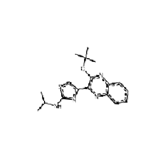 CC(C)Nc1nc(-c2nc3ccccc3nc2OC(C)(C)C)cs1